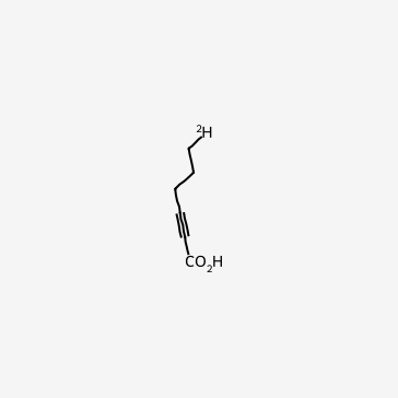 [2H]CCCC#CC(=O)O